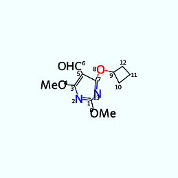 COc1nc(OC)c(C=O)c(OC2CCC2)n1